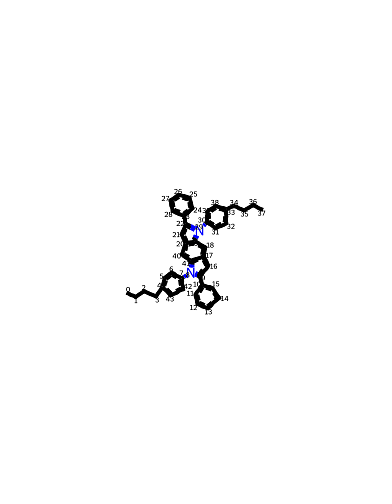 CCCCc1ccc(-n2c(-c3ccccc3)cc3cc4c(cc(-c5ccccc5)n4-c4ccc(CCCC)cc4)cc32)cc1